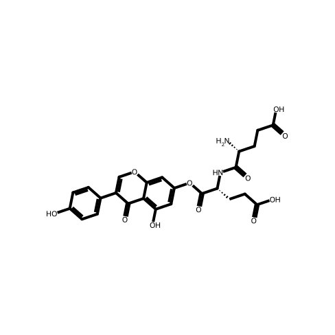 N[C@H](CCC(=O)O)C(=O)N[C@H](CCC(=O)O)C(=O)Oc1cc(O)c2c(=O)c(-c3ccc(O)cc3)coc2c1